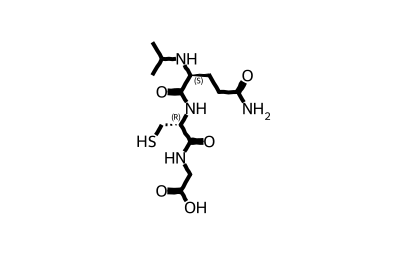 CC(C)N[C@@H](CCC(N)=O)C(=O)N[C@@H](CS)C(=O)NCC(=O)O